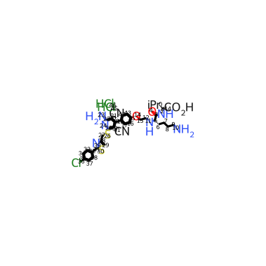 CC(C)[C@@H](NC(=O)[C@H](CCCCN)NCCOc1ccc(-c2c(C#N)c(N)nc(SCc3csc(-c4ccc(Cl)cc4)n3)c2C#N)cc1)C(=O)O.Cl.Cl